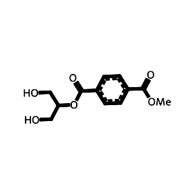 COC(=O)c1ccc(C(=O)OC(CO)CO)cc1